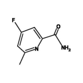 Cc1cc(F)cc(C(N)=O)n1